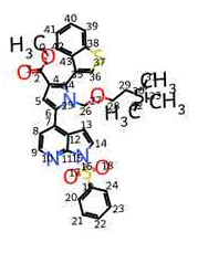 COC(=O)c1cc(-c2ccnc3c2ccn3S(=O)(=O)c2ccccc2)n(COCC[Si](C)(C)C)c1-c1csc2ccccc12